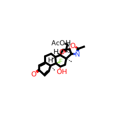 CC(=O)OCC(=O)[C@@]12N=C(C)O[C@@H]1C[C@H]1[C@@H]3CCC4=CC(=O)C=C[C@]4(C)[C@@]3(F)[C@@H](O)C[C@@]12C